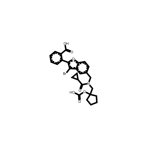 O=C(O)OC1(CN(Cc2ccc3oc(-c4ccccc4C(=O)O)c(Br)c3c2)C(=O)C2CC2)CCCC1